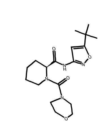 CC(C)(C)c1cc(NC(=O)[C@@H]2CCCCN2C(=O)N2CCOCC2)no1